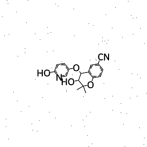 CC1(C)Oc2ccc(C#N)cc2C(Oc2ccc(O)nc2)C1O